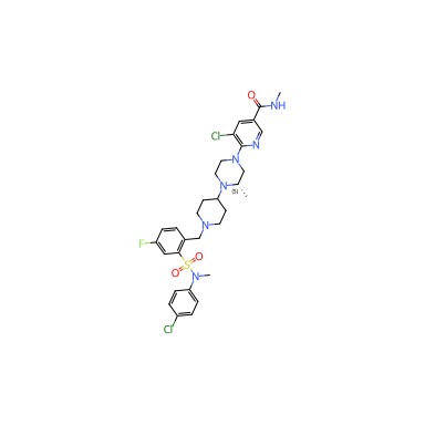 CNC(=O)c1cnc(N2CCN(C3CCN(Cc4ccc(F)cc4S(=O)(=O)N(C)c4ccc(Cl)cc4)CC3)[C@@H](C)C2)c(Cl)c1